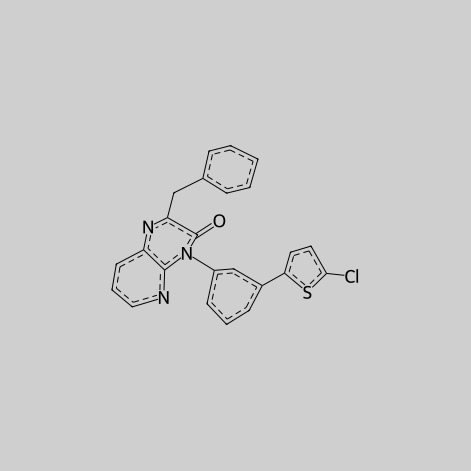 O=c1c(Cc2ccccc2)nc2cccnc2n1-c1cccc(-c2ccc(Cl)s2)c1